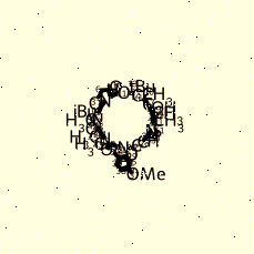 CC[C@H](C)[C@H]1C(=O)N2CCC[C@@H]2C(=O)O[C@H](C(C)(C)C)C[C@@H](C)C[C@H](O)C(C)(C)C2=N[C@@H](CCC(=O)N[C@@H](Cc3ccc(OC)cc3)C(=O)N(C)[C@@H](C)C(=O)N1C)CS2